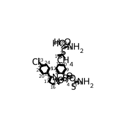 C.C=CC.CS(=O)(=O)c1ccccc1-n1nccc1-c1ccc(Cl)cc1.NC(O)=S.NC(O)=S.O